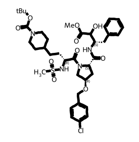 COC(=O)C(O)[C@H](Cc1ccccc1)NC(=O)[C@@H]1C[C@@H](OCc2ccc(Cl)cc2)CN1C(=O)[C@@H](CCC1CCN(C(=O)OC(C)(C)C)CC1)NS(C)(=O)=O